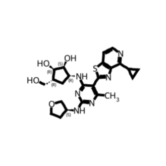 Cc1nc(N[C@H]2CCOC2)nc(N[C@@H]2C[C@H](CO)[C@@H](O)[C@H]2O)c1-c1nc2c(C3CC3)nccc2s1